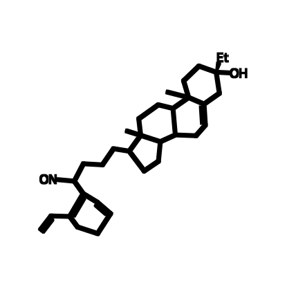 C=CC1=C(C(CCCC2CCC3C4CC=C5C[C@](O)(CC)CCC5(C)C4CCC23C)N=O)C=CCC1